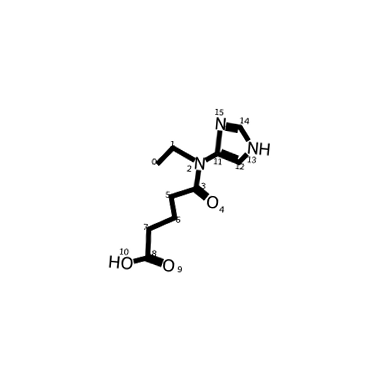 CCN(C(=O)CCCC(=O)O)c1c[nH]cn1